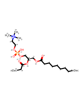 CCCCCCCCCCCCCCCCCC(=O)OC[C@H](COP(=O)(O)OCC[N+](C)(C)C)OC(=O)CCCCCCCCCCC